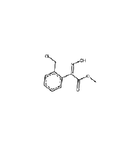 COC(=O)C(=NO)c1ccccc1CCl